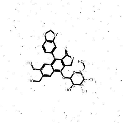 C[C@@H]1[C@H](O)[C@@H](O)C(Oc2c3c(c(-c4ccc5c(c4)OCO5)c4cc(CO)c(CO)cc24)C(=O)OC3)O[C@@H]1CO